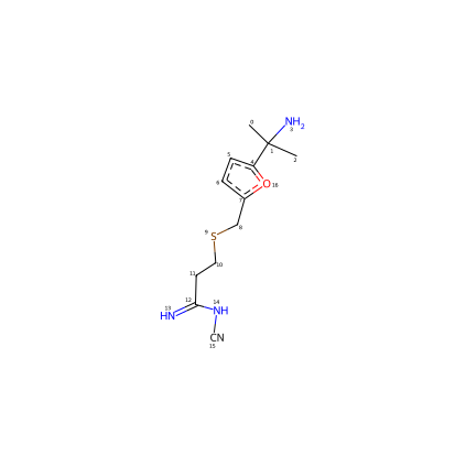 CC(C)(N)c1ccc(CSCCC(=N)NC#N)o1